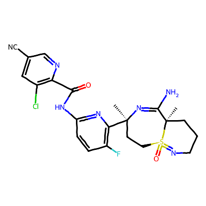 C[C@@]1(c2nc(NC(=O)c3ncc(C#N)cc3Cl)ccc2F)CC[S@]2(=O)=NCCC[C@]2(C)C(N)=N1